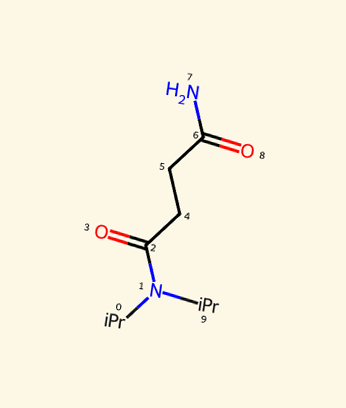 CC(C)N(C(=O)CCC(N)=O)C(C)C